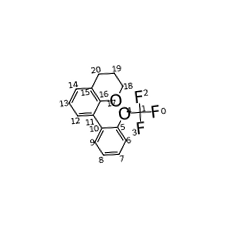 FC(F)(F)Oc1ccccc1-c1cccc2c1OCCC2